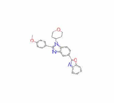 COc1ccc(-c2nc3cc(-c4nc5ccccc5o4)ccc3n2C2CCOCC2)cc1